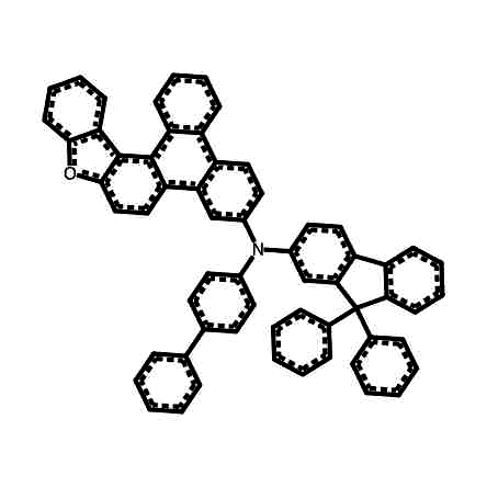 c1ccc(-c2ccc(N(c3ccc4c(c3)C(c3ccccc3)(c3ccccc3)c3ccccc3-4)c3ccc4c5ccccc5c5c(ccc6oc7ccccc7c65)c4c3)cc2)cc1